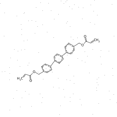 C=CC(=O)OCc1ccc(-c2ccc(-c3ccc(COC(=O)C=C)cc3)cc2)cc1